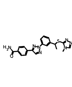 CC(Sc1nncn1C)c1cccc(-n2ncc(-c3ccc(C(N)=O)cc3)n2)c1